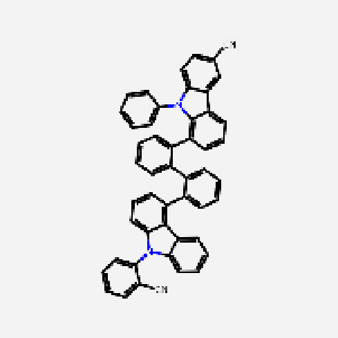 N#Cc1ccc2c(c1)c1cccc(-c3ccccc3-c3ccccc3-c3cccc4c3c3ccccc3n4-c3ccccc3C#N)c1n2-c1ccccc1